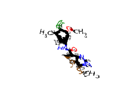 COc1cc(NC(=O)c2csc3c(SC)ncnc23)cc(C)c1Br